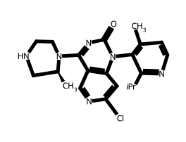 Cc1ccnc(C(C)C)c1-n1c(=O)nc(N2CCNC[C@@H]2C)c2cnc(Cl)cc21